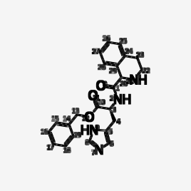 O=C(N[C@@H](Cc1cnc[nH]1)C(=O)OCc1ccccc1)C1NCCc2ccccc21